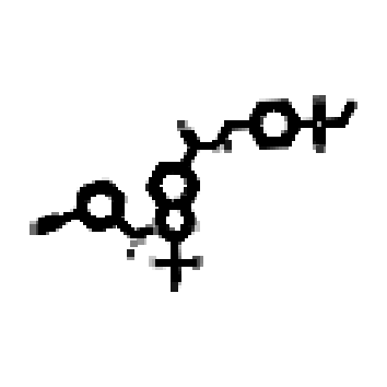 CCS(=O)(=O)c1ccc(CNC(=O)c2ccc3c(c2)nc(C(F)(F)F)n3[C@H](C)c2cccc(C#N)c2)cc1